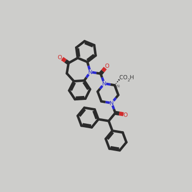 O=C1Cc2ccccc2N(C(=O)N2CCN(C(=O)C(C3=CC=CCC3)c3ccccc3)C[C@H]2C(=O)O)c2ccccc21